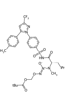 Cc1ccc(-c2cc(C(F)(F)F)nn2-c2ccc(S(=O)(=O)NC(=O)[C@H](CC(C)C)N(C)/[N+]([O-])=N/OCOC(=O)C(C)(C)C)cc2)cc1